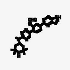 CN(c1ncc(-c2ccc(-c3ncc4[nH]ncc4n3)cc2OC=O)nn1)C1CC(C)(C)NC(C)(C)C1